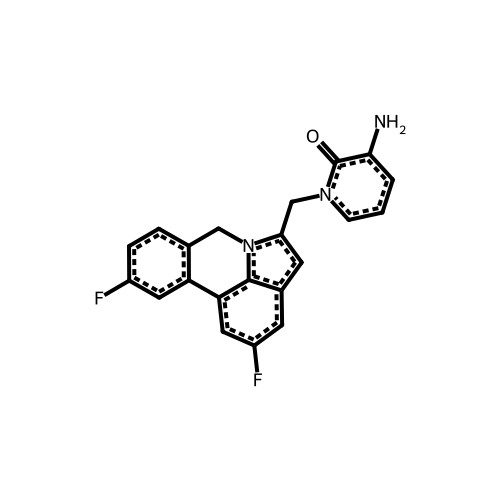 Nc1cccn(Cc2cc3cc(F)cc4c3n2Cc2ccc(F)cc2-4)c1=O